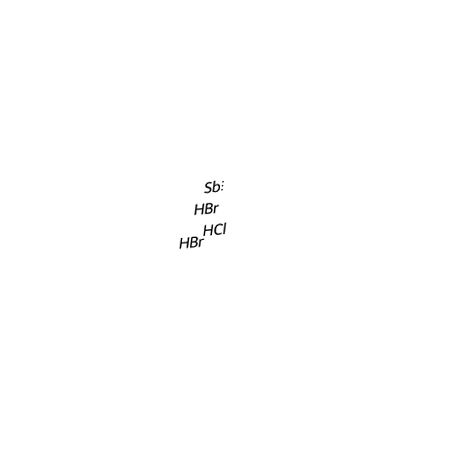 Br.Br.Cl.[Sb]